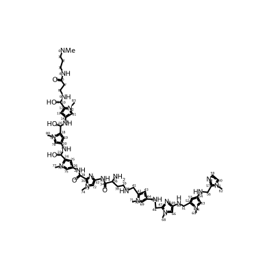 CNCCCNC(=O)CCNC(O)c1cc(NC(O)c2cc(NC(O)c3cc(NC(=O)c4nc(NC(=O)C(N)CCNCc5cc(NCc6nc(NCc7cc(NCc8nccn8C)cn7C)cn6C)cn5C)cn4C)cn3C)cn2C)cn1C